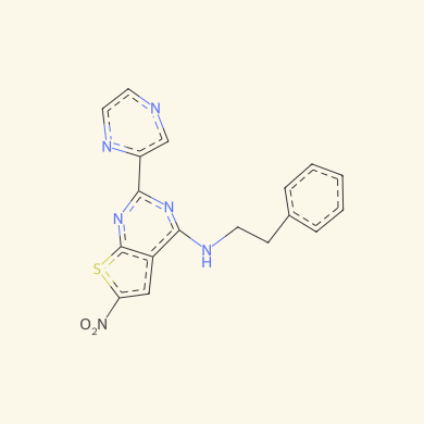 O=[N+]([O-])c1cc2c(NCCc3ccccc3)nc(-c3cnccn3)nc2s1